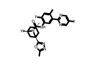 Cc1nnc([C@@]23C[C@@H](C)C[C@@H](C2)N3C(=O)Nc2cc(-c3ncc(F)cn3)c(C)cc2F)o1